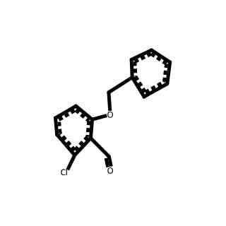 O=Cc1c(Cl)cccc1OCc1ccccc1